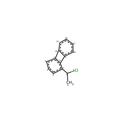 CC(Cl)c1cccc2c1-c1ccccc1-2